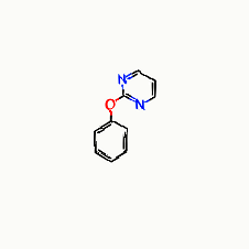 c1ccc(Oc2ncccn2)cc1